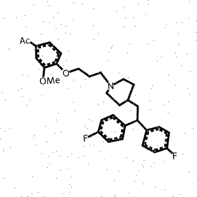 COc1cc(C(C)=O)ccc1OCCCN1CCC(CC(c2ccc(F)cc2)c2ccc(F)cc2)CC1